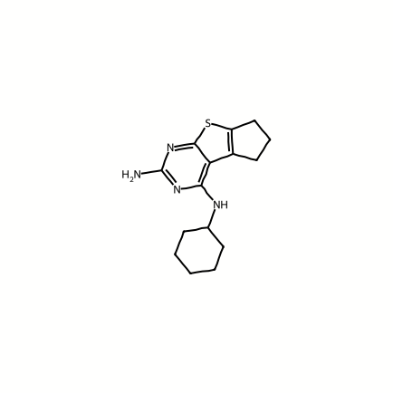 Nc1nc(NC2CCCCC2)c2c3c(sc2n1)CCC3